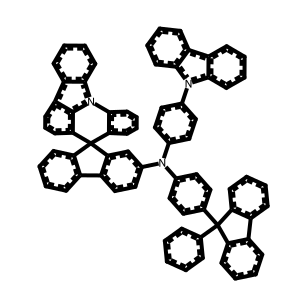 c1ccc(C2(c3ccc(N(c4ccc(-n5c6ccccc6c6ccccc65)cc4)c4ccc5c(c4)C4(c6ccccc6-5)c5ccccc5-n5c6ccccc6c6cccc4c65)cc3)c3ccccc3-c3ccccc32)cc1